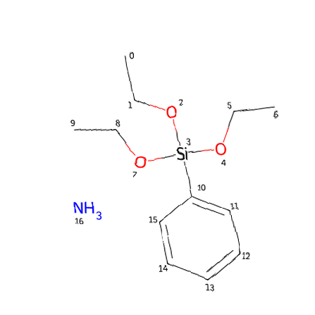 CCO[Si](OCC)(OCC)c1ccccc1.N